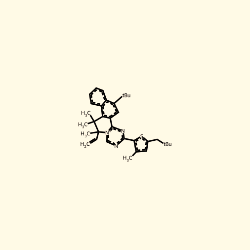 C=CC1(C)[n+]2cnc(-c3sc(CC(C)(C)C)cc3C)nc2-c2cc(C(C)(C)C)c3ccccc3c2C1(C)C